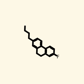 CCCCc1ccc2c(c1)CCc1cc(F)ccc1-2